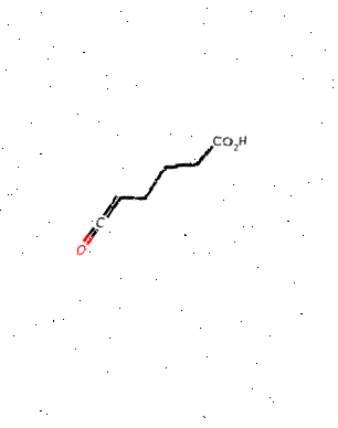 O=C=CCCCC(=O)O